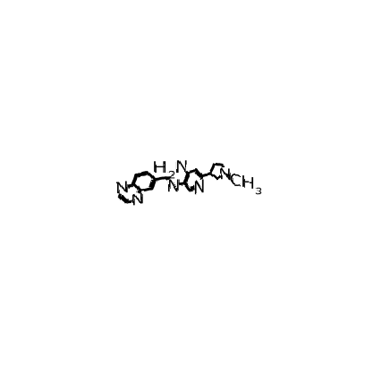 CN1CCC(c2cc(N)c(N=Cc3ccc4nccnc4c3)cn2)C1